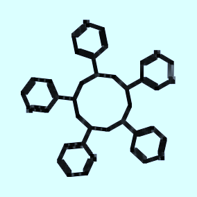 c1ccc(C2CC(c3ccncc3)CC(c3cncnc3)CC(c3ccncc3)CC(c3cccnc3)C2)nc1